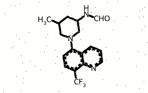 CC1CC(NC=O)CN(c2ccc(C(F)(F)F)c3ncccc23)C1